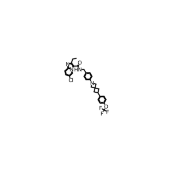 CCc1nc2ccc(Cl)cn2c1C(=O)NCc1ccc(N2CC3(CC(c4ccc(OC(F)(F)F)cc4)C3)C2)cc1